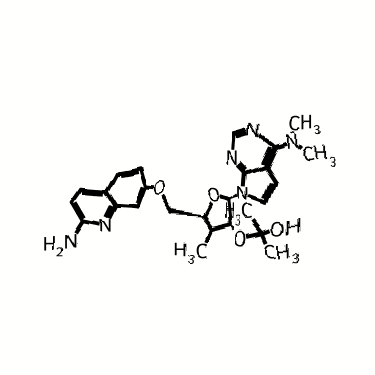 CC1[C@@H](OC(C)(C)O)[C@H](n2ccc3c(N(C)C)ncnc32)O[C@@H]1COc1ccc2ccc(N)nc2c1